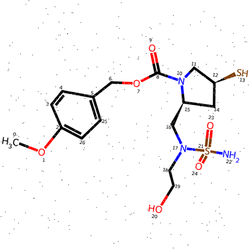 COc1ccc(COC(=O)N2C[C@@H](S)C[C@H]2CN(CCO)S(N)(=O)=O)cc1